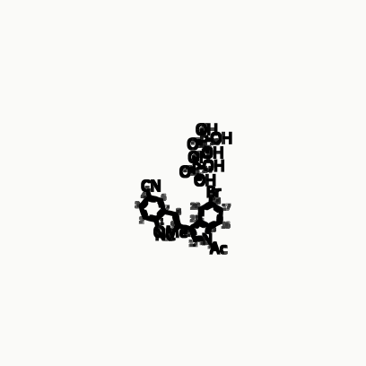 COc1ccc(C#N)cc1C=C(C#N)c1cn(C(C)=O)c2ccc(Br)cc12.O=P(O)(O)O.O=P(O)(O)O